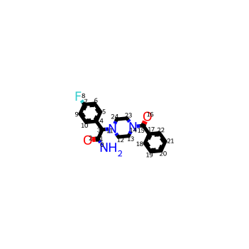 NC(=O)C(c1ccc(F)cc1)N1CCN(C(=O)c2ccccc2)CC1